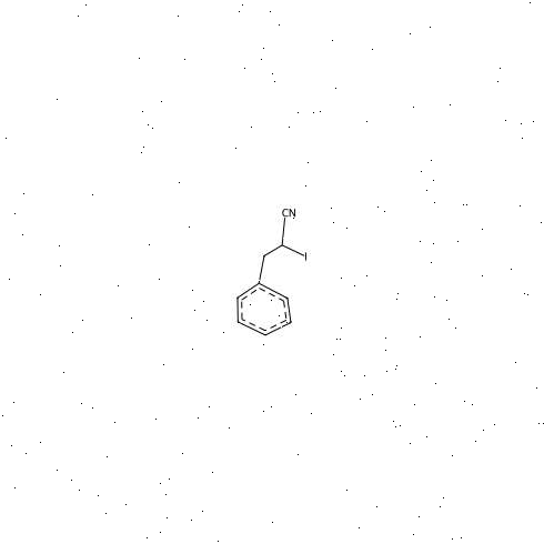 N#CC(I)Cc1ccccc1